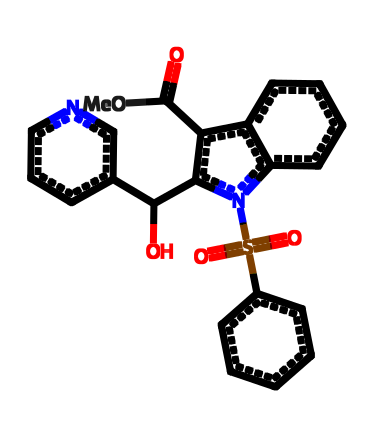 COC(=O)c1c(C(O)c2cccnc2)n(S(=O)(=O)c2ccccc2)c2ccccc12